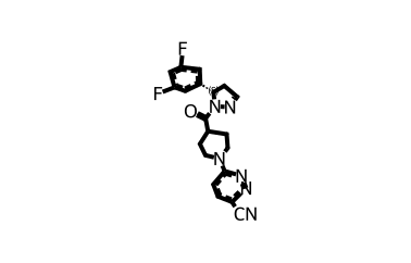 N#Cc1ccc(N2CCC(C(=O)N3N=CC[C@H]3c3cc(F)cc(F)c3)CC2)nn1